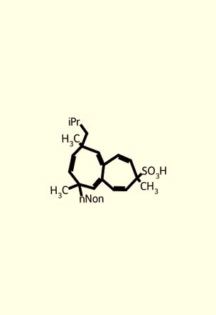 CCCCCCCCCC1(C)/C=C\C(C)(CC(C)C)/C=C2/C=CC(C)(S(=O)(=O)O)C=C/C2=C/1